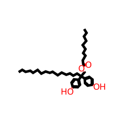 CCCCCCCCCCCCCCCCC(COC(=O)CCCCCCCCC)(c1ccc(O)cc1)c1ccc(O)cc1